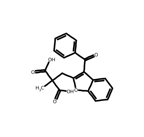 CC(Cc1oc2ccccc2c1C(=O)c1ccccc1)(C(=O)O)C(=O)O